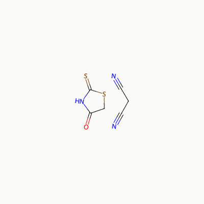 N#CCC#N.O=C1CSC(=S)N1